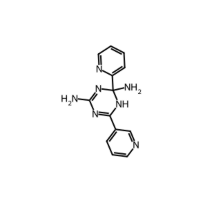 NC1=NC(N)(c2ccccn2)NC(c2cccnc2)=N1